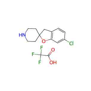 Clc1ccc2c(c1)OC1(CCNCC1)C2.O=C(O)C(F)(F)F